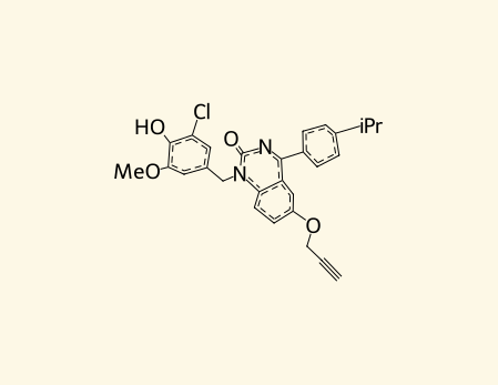 C#CCOc1ccc2c(c1)c(-c1ccc(C(C)C)cc1)nc(=O)n2Cc1cc(Cl)c(O)c(OC)c1